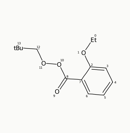 CCOc1ccccc1C(=O)OO[CH]C(C)(C)C